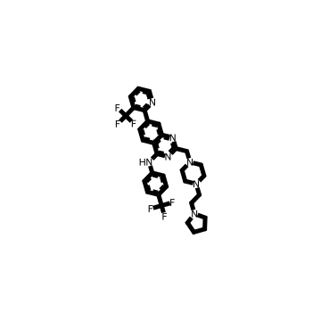 FC(F)(F)c1ccc(Nc2nc(CN3CCN(CCN4CCCC4)CC3)nc3cc(-c4ncccc4C(F)(F)F)ccc23)cc1